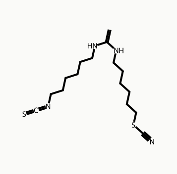 C=C(NCCCCCCN=C=S)NCCCCCCSC#N